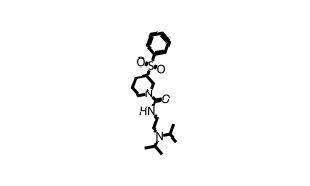 CC(C)N(CCNC(=O)N1CCCC(S(=O)(=O)c2ccccc2)C1)C(C)C